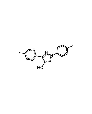 Cc1ccc(-c2nn(-c3ccc(C)cc3)cc2O)cc1